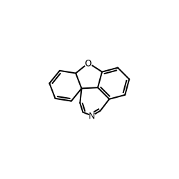 C1=CC2Oc3cccc4c3C2(C=C1)C=CN=C4